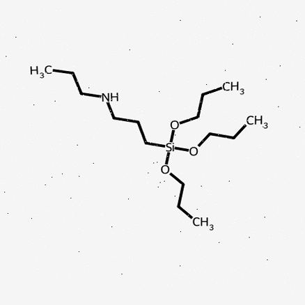 CCCNCCC[Si](OCCC)(OCCC)OCCC